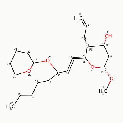 C=CC[C@@H]1[C@H](O)C[C@H](OC)O[C@H]1C=CC(CCCCC)OC1CCCCO1